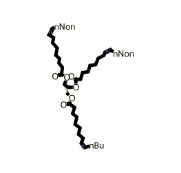 CCCC/C=C\CCCCCCCC(=O)OC[C@H](COC(=O)CCCCCCC/C=C\CCCCCCCCC)OC(=O)CCCCCCC/C=C\CCCCCCCCC